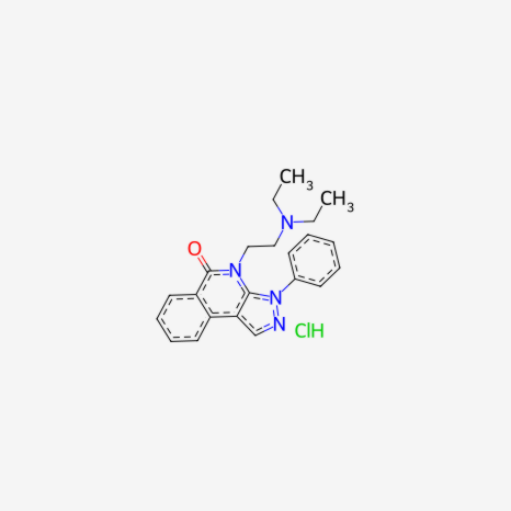 CCN(CC)CCn1c(=O)c2ccccc2c2cnn(-c3ccccc3)c21.Cl